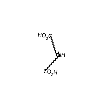 CC1=C(CCCCCCCCCCCCC(=O)O)CC(CCCCCCCCCCCCC(=O)O)=C(C)N1